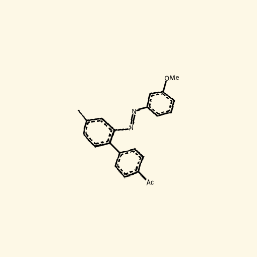 COc1cccc(/N=N/c2cc(C)ccc2-c2ccc(C(C)=O)cc2)c1